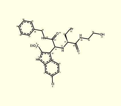 CCOC(=O)c1[nH]c2cc(Cl)ccc2c1C(N[C@@H](CC(C)C)C(=O)NCCO)C(=O)NCc1ccccc1